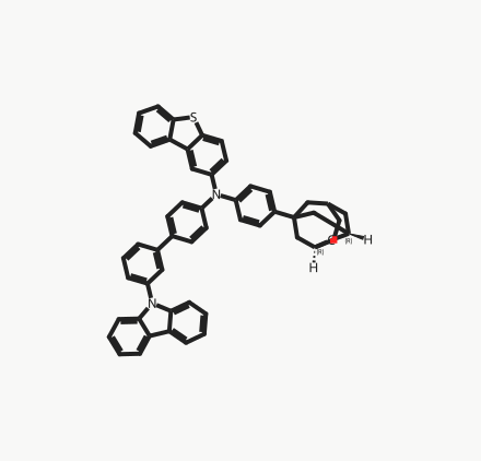 c1cc(-c2ccc(N(c3ccc(C45CC6CC[C@H](C[C@@H](C6)C4)C5)cc3)c3ccc4sc5ccccc5c4c3)cc2)cc(-n2c3ccccc3c3ccccc32)c1